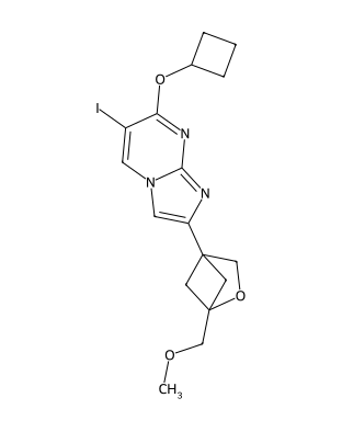 COCC12CC(c3cn4cc(I)c(OC5CCC5)nc4n3)(CO1)C2